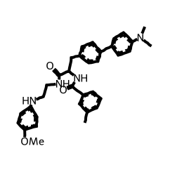 COc1ccc(NCCNC(=O)C(Cc2ccc(-c3ccc(N(C)C)cc3)cc2)NC(=O)c2cccc(C)c2)cc1